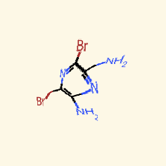 Nc1nc(N)c(Br)nc1Br